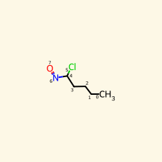 CCCCC(Cl)N=O